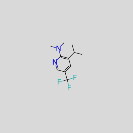 CC(C)c1cc(C(F)(F)F)cnc1N(C)C